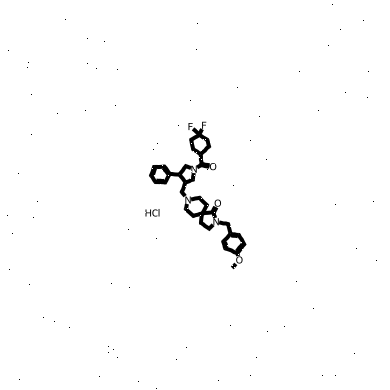 COc1ccc(CN2CCC3(CCN(CC4CN(C(=O)C5CCC(F)(F)CC5)CC4c4ccccc4)CC3)C2=O)cc1.Cl